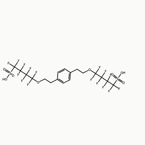 O=S(=O)(O)C(F)(F)C(F)(F)C(F)(F)C(F)(F)OCCc1ccc(CCOC(F)(F)C(F)(F)C(F)(F)C(F)(F)S(=O)(=O)O)cc1